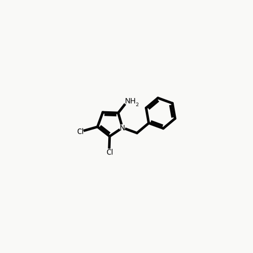 Nc1cc(Cl)c(Cl)n1Cc1ccccc1